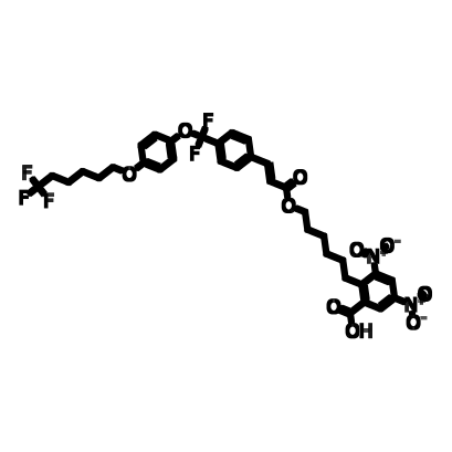 O=C(C=Cc1ccc(C(F)(F)Oc2ccc(OCCCCCC(F)(F)F)cc2)cc1)OCCCCCCc1c(C(=O)O)cc([N+](=O)[O-])cc1[N+](=O)[O-]